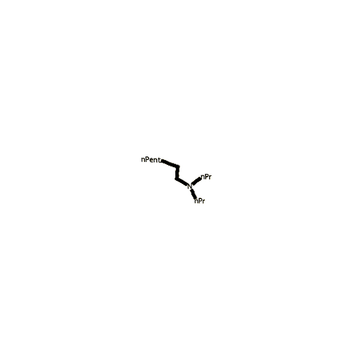 [CH2]CCCCCCN(CCC)CCC